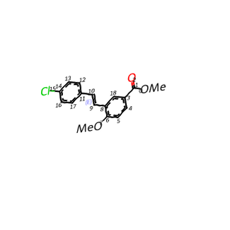 COC(=O)c1ccc(OC)c(/C=C/c2ccc(Cl)cc2)c1